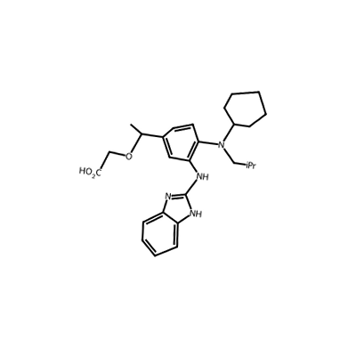 CC(C)CN(c1ccc(C(C)OCC(=O)O)cc1Nc1nc2ccccc2[nH]1)C1CCCCC1